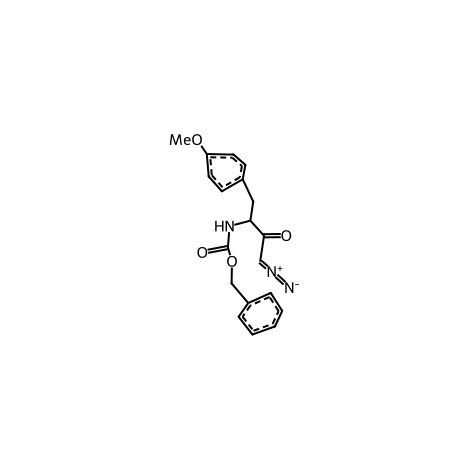 COc1ccc(CC(NC(=O)OCc2ccccc2)C(=O)C=[N+]=[N-])cc1